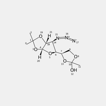 CC1(C)O[C@H]2O[C@H]([C@H]3COC(C)(O)O3)[C@H](N=[N+]=[N-])[C@H]2O1